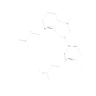 CC(C)=CCc1cc(C2CC(=O)c3cccc(CC=C(C)C)c3O2)ccc1O